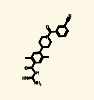 Cc1cc(C2CCN(C(=O)c3cccc(C#N)c3)CC2)c(C)cc1C(=O)NC(=N)N